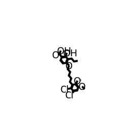 CCCc1c(OCCCCCc2c(Cl)c(Cl)cc(OC)c2OC)ccc(C(=O)O)c1O